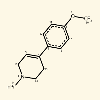 [CH2]CCN1CC=C(c2ccc(OC(F)(F)F)cc2)CC1